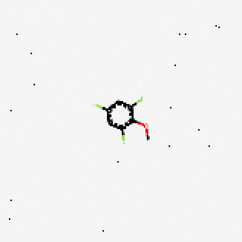 COc1c(F)cc(F)cc1F